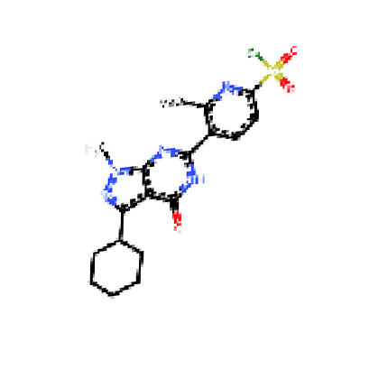 COc1nc(S(=O)(=O)Cl)ccc1-c1nc2c(c(C3CCCCC3)nn2C)c(=O)[nH]1